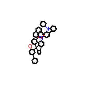 c1ccc(-c2ccc3c(c2)C2(c4cc(-c5ccccc5)ccc4O3)c3ccccc3-c3ccc(N(c4ccc5c6ccccc6n(-c6ccccc6)c5c4)c4cccc5ccccc45)cc32)cc1